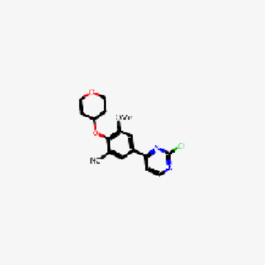 COc1cc(-c2ccnc(Cl)n2)cc(C#N)c1OC1CCOCC1